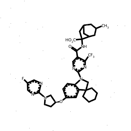 CC1CC2CC(C1)C(NC(=O)c1cnc(N3CC4(CCCCC4)c4cc(O[C@H]5CCN(c6ncc(F)cn6)C5)ccc43)nc1C(F)(F)F)(C(=O)O)C2